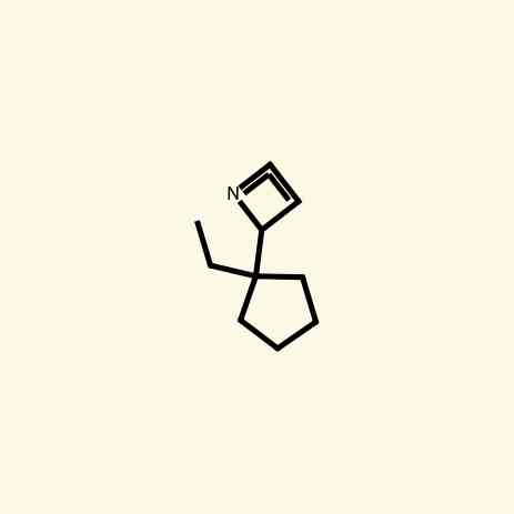 CCC1(C2C=C=N2)CCCC1